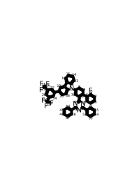 Fc1ccccc1-c1ccc(-n2c3ccccc3c3cc(-c4cc(C(F)(F)F)cc(C(F)(F)F)c4)ccc32)cc1-c1nc(-c2ccccc2)nc(-c2ccccc2)n1